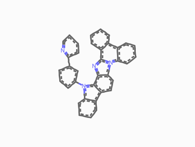 c1ccc(-c2cccc(-n3c4ccccc4c4ccc5c(nc6c7ccccc7c7ccccc7n56)c43)c2)nc1